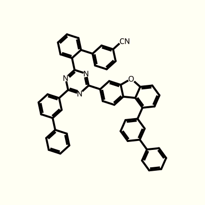 N#Cc1cccc(-c2ccccc2-c2nc(-c3cccc(-c4ccccc4)c3)nc(-c3ccc4c(c3)oc3cccc(-c5cccc(-c6ccccc6)c5)c34)n2)c1